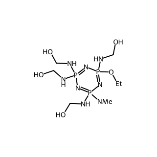 CCOP1(NCO)=NP(NC)(NCO)=NP(NCO)(NCO)=N1